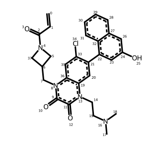 C=CC(=O)N1CC(Cn2c(=O)c(=O)n(CCN(C)C)c3cc(-c4cc(O)cc5ccccc45)c(Cl)cc32)C1